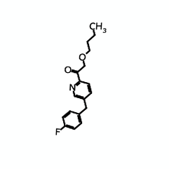 CCCCOCC(=O)c1ccc(Cc2ccc(F)cc2)cn1